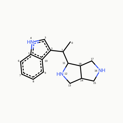 CC(c1c[nH]c2ccccc12)C1NCC2CNCC21